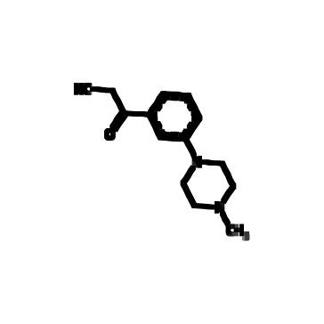 CN1CCN(c2cccc(C(=O)CC#N)c2)CC1